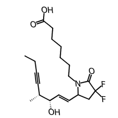 CCC#C[C@@H](C)[C@@H](O)C=CC1CC(F)(F)C(=O)N1CCCCCCC(=O)O